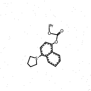 CC(C)OC(=O)Oc1ccc([S+]2CCCC2)c2ccccc12